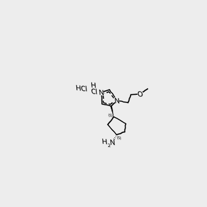 COCCn1cncc1[C@H]1CC[C@H](N)C1.Cl.Cl